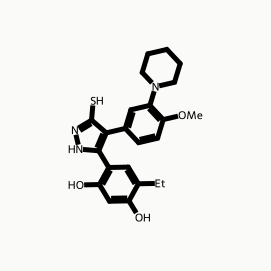 CCc1cc(-c2[nH]nc(S)c2-c2ccc(OC)c(N3CCCCC3)c2)c(O)cc1O